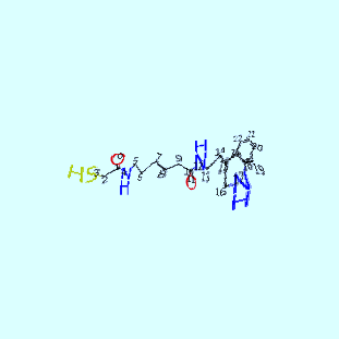 O=C(CS)NCCCCCC(=O)NCCC1CNc2ccccc21